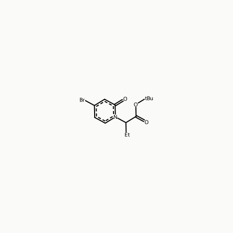 CCC(C(=O)OC(C)(C)C)n1ccc(Br)cc1=O